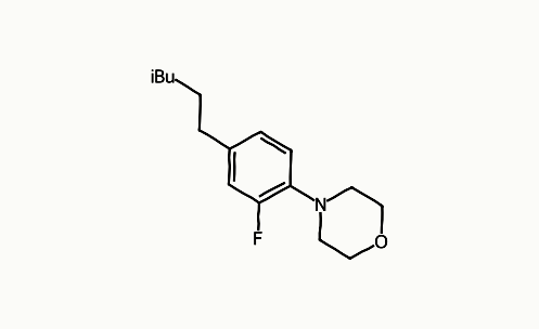 CCC(C)CCc1ccc(N2CCOCC2)c(F)c1